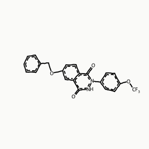 O=c1[nH]n(-c2ccc(OC(F)(F)F)cc2)c(=O)c2ccc(OCc3ccccc3)cc12